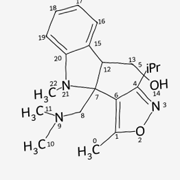 Cc1onc(C(C)C)c1C1(CN(C)C)C(CO)c2ccccc2N1C